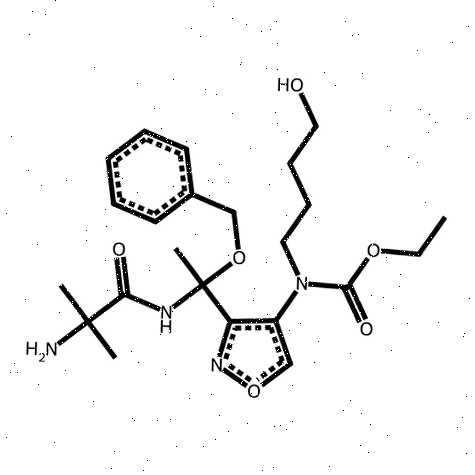 CCOC(=O)N(CCCCO)c1conc1C(C)(NC(=O)C(C)(C)N)OCc1ccccc1